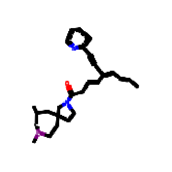 C/C=C/C=C(C#Cc1ccccn1)\C=C\CC(=O)N1CCC2(CCP(C)CC(C)C2)C1